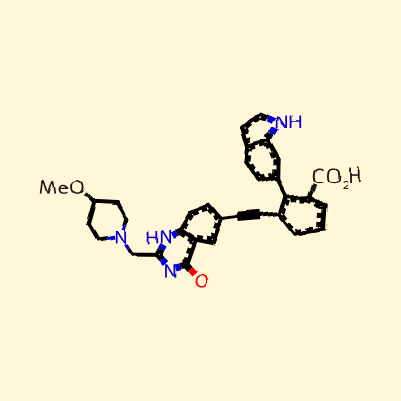 COC1CCN(Cc2nc(=O)c3cc(C#Cc4cccc(C(=O)O)c4-c4ccc5cc[nH]c5c4)ccc3[nH]2)CC1